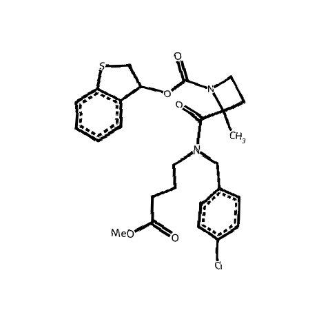 COC(=O)CCCN(Cc1ccc(Cl)cc1)C(=O)C1(C)CCN1C(=O)OC1CSc2ccccc21